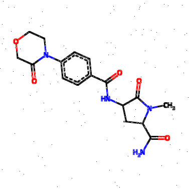 CN1C(=O)C(NC(=O)c2ccc(N3CCOCC3=O)cc2)[CH]C1C(N)=O